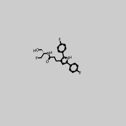 O=C(CCc1cc(-c2ccc(F)cc2)[nH]c1-c1ccc(F)cc1)N[C@@H](CO)CF